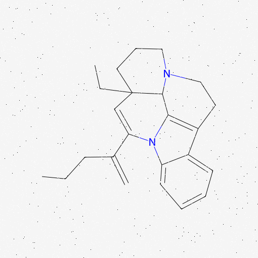 C=C(CCC)C1=CC2(CC)CCCN3CCc4c(n1c1ccccc41)C32